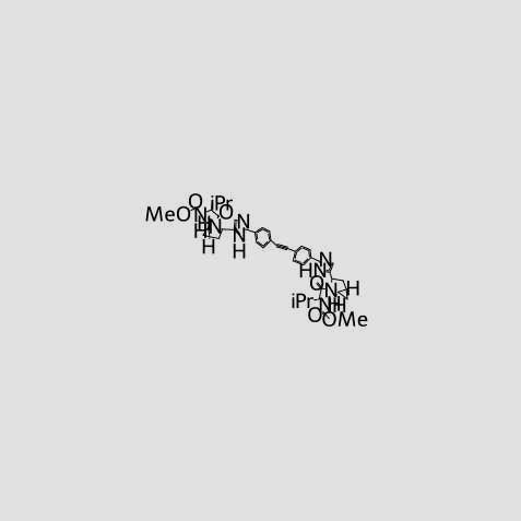 COC(=O)N[C@H](C(=O)N1C(c2cnc(-c3ccc(C#Cc4ccc(-c5ncc(C6C[C@H]7C[C@H]7N6C(=O)[C@@H](NC(=O)OC)C(C)C)[nH]5)cc4)cc3)[nH]2)C[C@H]2C[C@H]21)C(C)C